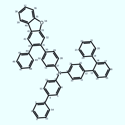 c1ccc(-c2ccc(N(c3ccc(-c4ccccc4-c4ccccc4)cc3)c3ccc(-c4cc5oc6ccccc6c5cc4-c4ccccc4)cc3)cc2)cc1